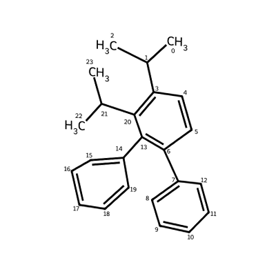 CC(C)c1ccc(-c2ccccc2)c(-c2ccccc2)c1C(C)C